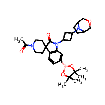 CC(=O)N1CCC2(CC1)C(=O)N(C1CC(N3C4CCC3COC4)C1)c1cc(B3OC(C)(C)C(C)(C)O3)ccc12